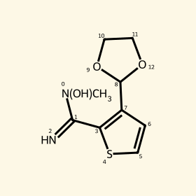 CN(O)C(=N)c1sccc1C1OCCO1